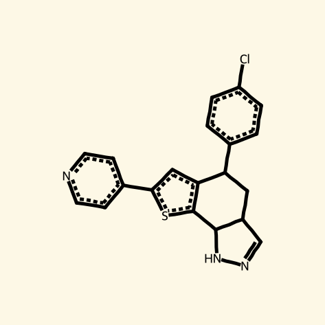 Clc1ccc(C2CC3C=NNC3c3sc(-c4ccncc4)cc32)cc1